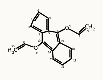 C=COc1c2ccccc2c(OC=C)c2ccccc12